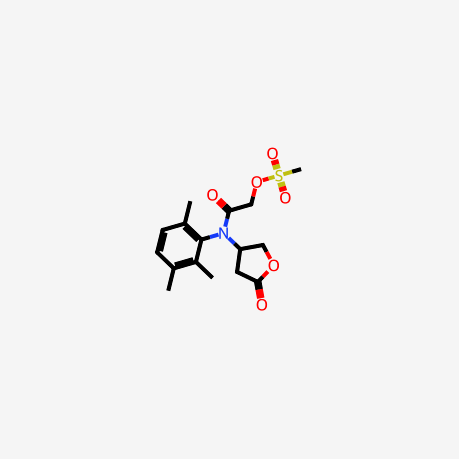 Cc1ccc(C)c(N(C(=O)COS(C)(=O)=O)C2COC(=O)C2)c1C